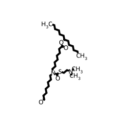 CCCCCCC(CCCCCC)OC(=O)CCCCCCCN(CCCCCCCC=O)C(=O)SCCN(C)C